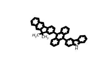 CC1(C)c2cc(-c3c4ccccc4c(-c4ccc5[nH]c6ccccc6c5c4)c4ccccc34)ccc2-c2cc3ccccc3cc21